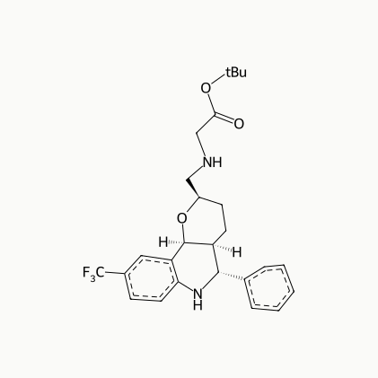 CC(C)(C)OC(=O)CNC[C@H]1CC[C@@H]2[C@H](O1)c1cc(C(F)(F)F)ccc1N[C@H]2c1ccccc1